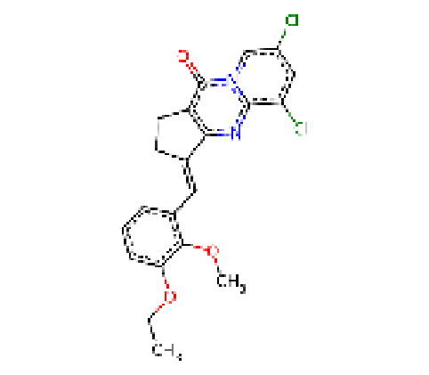 CCOc1cccc(C=C2CCc3c2nc2c(Cl)cc(Cl)cn2c3=O)c1OC